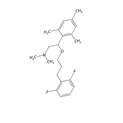 Cc1cc(C)c(C(CN(C)C)OCCCc2c(F)cccc2F)c(C)c1